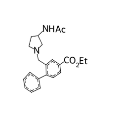 CCOC(=O)c1ccc(-c2ccccc2)c(CN2CCC(NC(C)=O)C2)c1